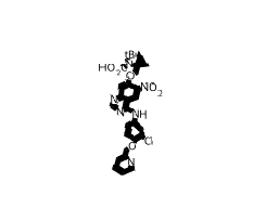 CC(C)(C)N(C(=O)O)C1(COc2cc3ncnc(Nc4ccc(OCc5ccccn5)c(Cl)c4)c3cc2[N+](=O)[O-])CC1